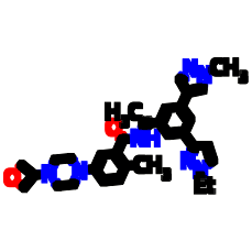 CCn1ccc(-c2cc(-c3cnn(C)c3)cc([C@@H](C)NC(=O)c3cc(N4CCN(C5COC5)CC4)ccc3C)c2)n1